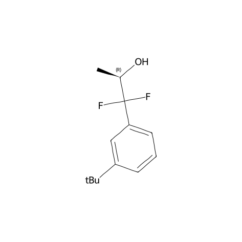 C[C@@H](O)C(F)(F)c1cccc(C(C)(C)C)c1